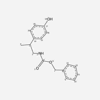 CC(CNC(=O)OCc1ccccc1)c1ccc(O)cc1